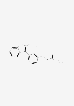 COC(=O)CCc1cccc(-c2c(C(=O)O)oc3ccccc23)c1